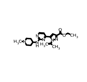 C=C(C)n1nc(C(=O)OCC)cc1-c1ccnc(NC2CCN(C)CC2)n1